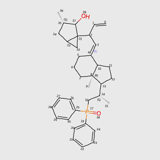 C=CC(/C=C1\CCC[C@@]2(C)C1CCC2[C@H](C)CP(=O)(c1ccccc1)c1ccccc1)C12CC1C[C@H](C)C2O